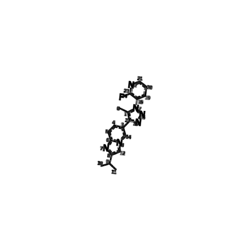 Cc1c(-c2ccc3nc(C(C)C)cn3c2)nnn1-c1cccnc1F